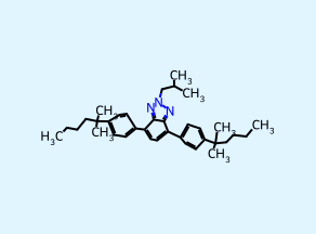 CCCCC(C)(C)c1ccc(-c2ccc(-c3ccc(C(C)(C)CCCC)cc3)c3nn(CC(C)C)nc23)cc1